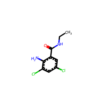 CCNC(=O)c1cc(Cl)cc(Cl)c1N